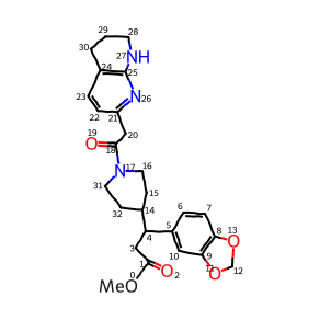 COC(=O)CC(c1ccc2c(c1)OCO2)C1CCN(C(=O)Cc2ccc3c(n2)NCCC3)CC1